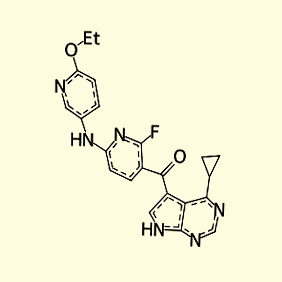 CCOc1ccc(Nc2ccc(C(=O)c3c[nH]c4ncnc(C5CC5)c34)c(F)n2)cn1